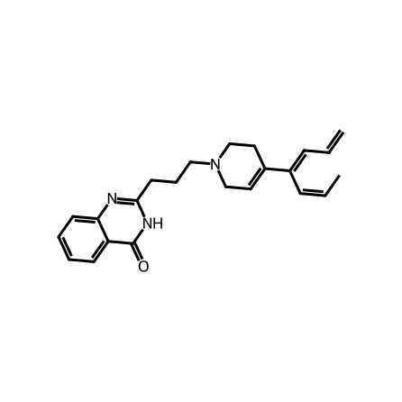 C=C/C=C(\C=C/C)C1=CCN(CCCc2nc3ccccc3c(=O)[nH]2)CC1